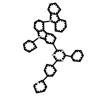 c1ccc(-c2ccc(-c3nc(-c4ccccc4)nc(-c4ccc5c6c(-n7c8ccccc8c8ccccc87)cccc6n(-c6ccccc6)c5c4)n3)cc2)cc1